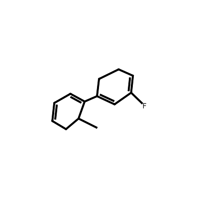 CC1CC=CC=C1C1=CC(F)=CCC1